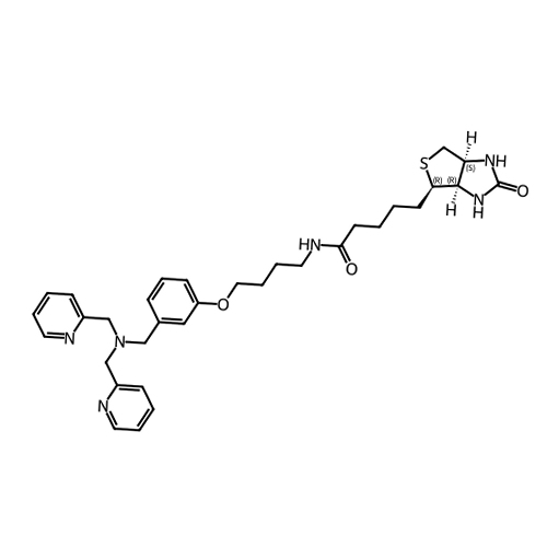 O=C(CCCC[C@H]1SC[C@H]2NC(=O)N[C@H]21)NCCCCOc1cccc(CN(Cc2ccccn2)Cc2ccccn2)c1